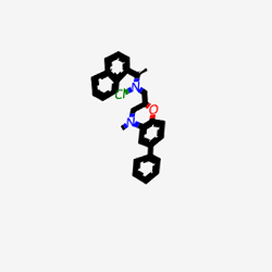 C[C@H](c1cccc2ccccc12)N(Cl)CC1CN(C)c2cc(-c3ccccc3)ccc2O1